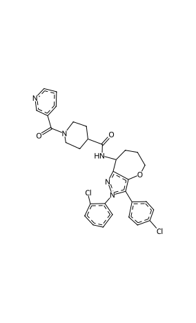 O=C(NC1CCCOc2c1nn(-c1ccccc1Cl)c2-c1ccc(Cl)cc1)C1CCN(C(=O)c2cccnc2)CC1